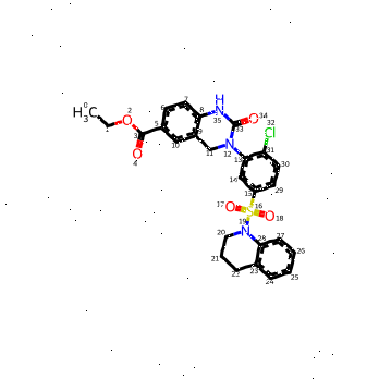 CCOC(=O)c1ccc2c(c1)CN(c1cc(S(=O)(=O)N3CCCc4ccccc43)ccc1Cl)C(=O)N2